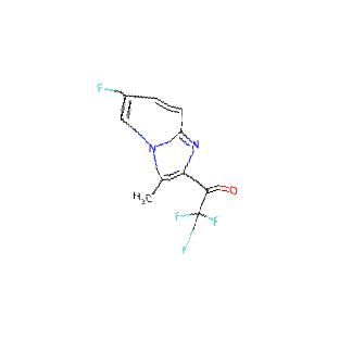 Cc1c(C(=O)C(F)(F)F)nc2ccc(F)cn12